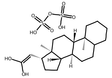 C[C@]12CC[C@H]3[C@@H](CCC4CCCC[C@@]43C)[C@@H]1CC[C@@H]2C=C(O)O.O=S(=O)(O)OS(=O)(=O)O